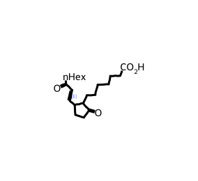 CCCCCCC(=O)/C=C/C1CCC(=O)C1CCCCCCC(=O)O